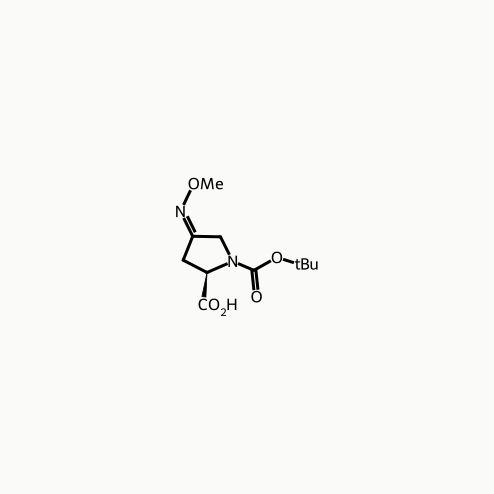 CON=C1C[C@H](C(=O)O)N(C(=O)OC(C)(C)C)C1